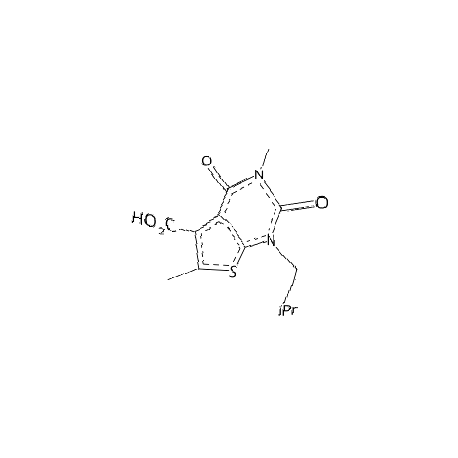 Cc1sc2c(c1C(=O)O)c(=O)n(C)c(=O)n2CC(C)C